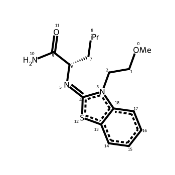 COCCn1c(=N[C@@H](CC(C)C)C(N)=O)sc2ccccc21